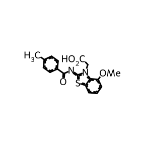 COc1cccc2s/c(=N\C(=O)c3ccc(C)cc3)n(CC(=O)O)c12